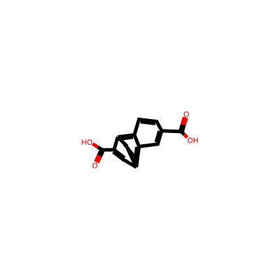 O=C(O)c1ccc2c3c(C(=O)O)cc(c2c1)CCCC3